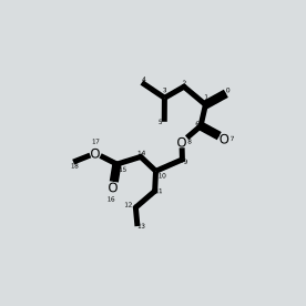 C=C(CC(C)C)C(=O)OCC(CCC)CC(=O)OC